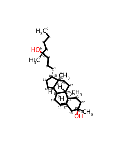 CCCC[C@@](C)(O)CCC[C@H]1CC[C@H]2[C@@H]3CC=C4C[C@@](C)(O)CC[C@]4(C)[C@H]3CC[C@]12C